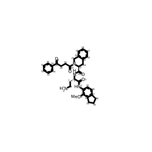 COc1c(NC(=O)[C@H](CCN)NC(=O)[C@@H]2Cc3ccccc3CN2C(=O)CCC(=O)c2ccccc2)ccc2c1CCC2